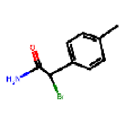 Cc1ccc(C(Br)C(N)=O)cc1